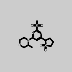 CC1COCCN1c1cc(C2CCCS2(=O)=O)nc(S(C)(=O)=O)n1